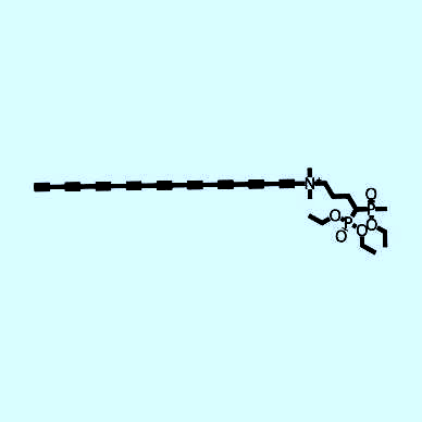 C#CC#CC#CC#CC#CC#CC#CC#CC#C[N+](C)(C)CCCC(P(C)(=O)OCC)P(=O)(OCC)OCC